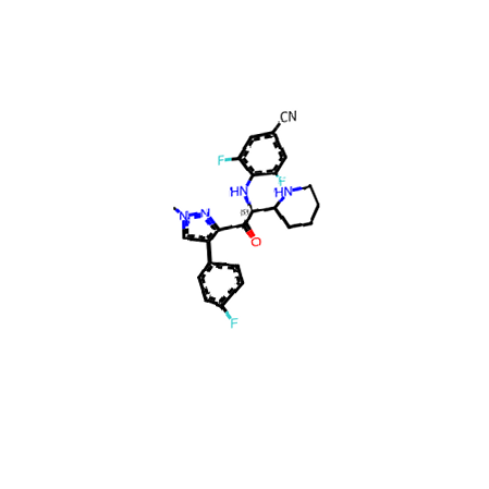 Cn1cc(-c2ccc(F)cc2)c(C(=O)[C@@H](Nc2c(F)cc(C#N)cc2F)C2CCCCN2)n1